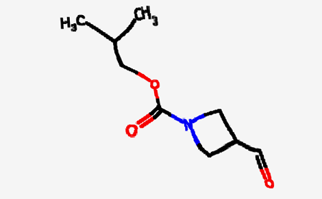 CC(C)COC(=O)N1CC(C=O)C1